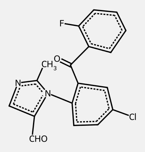 Cc1ncc(C=O)n1-c1ccc(Cl)cc1C(=O)c1ccccc1F